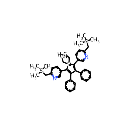 CC[Si]1(CC)C(c2ccc(C[Si](C)(C)C)nc2)=C(c2ccccc2)C(c2ccccc2)=C1c1ccc(C[Si](C)(C)C)nc1